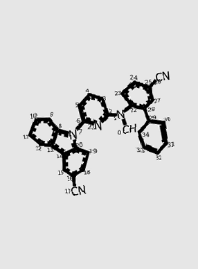 CN(c1cccc(-n2c3ccccc3c3cc(C#N)ccc32)n1)c1ccc(C#N)cc1C1C=CC=CC1